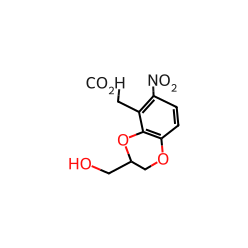 O=C(O)Cc1c([N+](=O)[O-])ccc2c1OC(CO)CO2